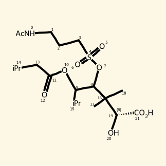 CC(=O)NCCCS(=O)(=O)OC(C(OC(=O)CC(C)C)C(C)C)C(C)(C)[C@@H](O)C(=O)O